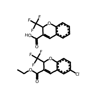 CCOC(=O)C1=Cc2cc(Cl)ccc2OC1C(F)(F)F.O=C(O)C1=Cc2ccccc2OC1C(F)(F)F